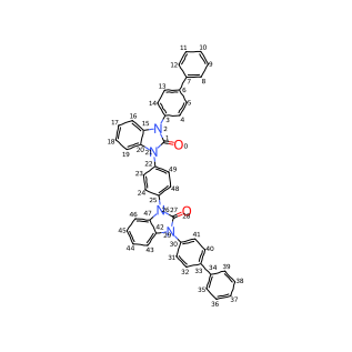 O=c1n(-c2ccc(-c3ccccc3)cc2)c2ccccc2n1-c1ccc(-n2c(=O)n(-c3ccc(-c4ccccc4)cc3)c3ccccc32)cc1